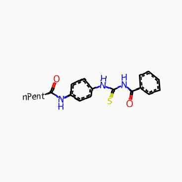 CCCCCC(=O)Nc1ccc(NC(=S)NC(=O)c2ccccc2)cc1